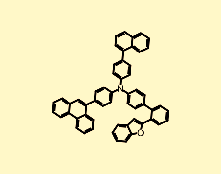 c1ccc(-c2cc3ccccc3o2)c(-c2ccc(N(c3ccc(-c4cccc5ccccc45)cc3)c3ccc(-c4cc5ccccc5c5ccccc45)cc3)cc2)c1